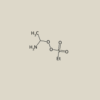 CCS(=O)(=O)OOC(C)N